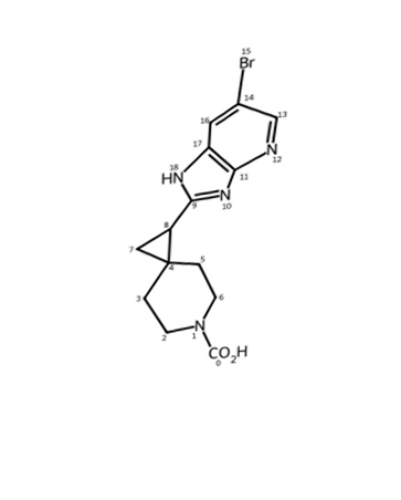 O=C(O)N1CCC2(CC1)CC2c1nc2ncc(Br)cc2[nH]1